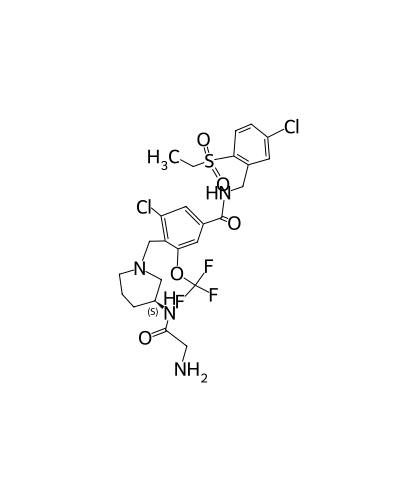 CCS(=O)(=O)c1ccc(Cl)cc1CNC(=O)c1cc(Cl)c(CN2CCC[C@H](NC(=O)CN)C2)c(OC(F)(F)F)c1